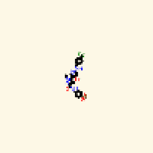 CCn1nc(C(=O)NC[C@H]2CC[C@H](S(C)(=O)=O)CC2)c(C)c1-c1cnc(NCC2CCC(C(F)(F)F)CC2)cc1OC